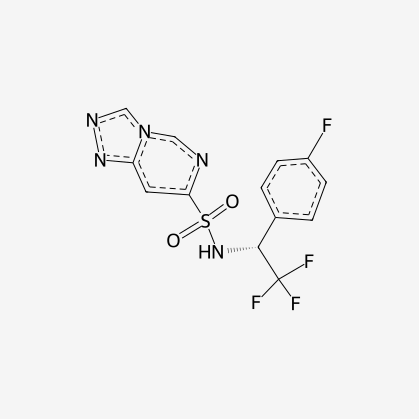 O=S(=O)(N[C@H](c1ccc(F)cc1)C(F)(F)F)c1cc2nncn2cn1